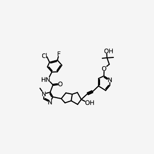 Cn1cnc(C2CC3CC(O)(C#Cc4ccnc(OCC(C)(C)O)c4)CC3C2)c1C(=O)Nc1ccc(F)c(Cl)c1